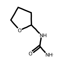 [NH]C(=O)NC1CCCO1